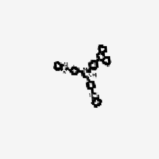 C1=CC2C(c3ccc(C4=NC(c5ccc(-c6nc7ccccc7s6)cc5)=CC(c5ccc(-c6nc7ccccc7s6)cc5)N4)cc3)=Cc3ccccc3C2C=C1